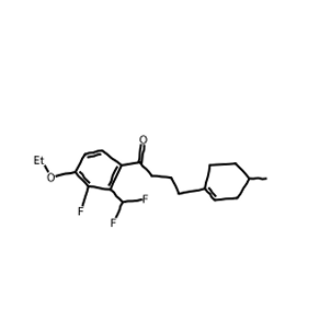 CCOc1ccc(C(=O)CCCC2=CCC(C)CC2)c(C(F)F)c1F